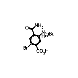 CC[C@@H](C)Nc1cc(C(=O)O)c(Br)cc1C(N)=O